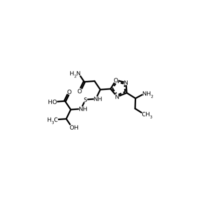 CCC(N)c1noc(C(CC(N)=O)NSNC(C(=O)O)C(C)O)n1